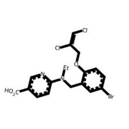 CCN(Cc1cc(Br)ccc1OC/C(Cl)=C\Cl)c1ccc(C(=O)O)cn1